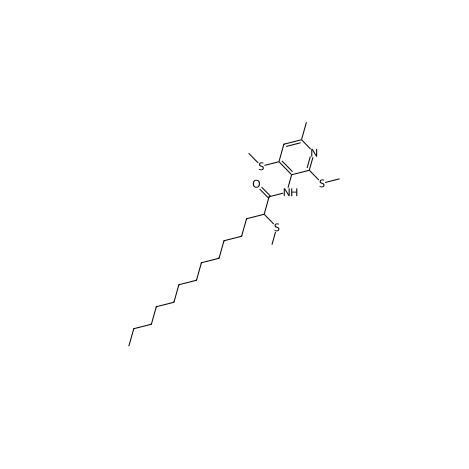 CCCCCCCCCCCCC(SC)C(=O)Nc1c(SC)cc(C)nc1SC